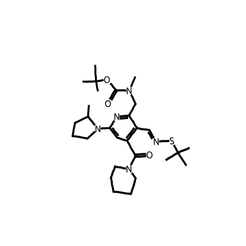 CC1CCCN1c1cc(C(=O)N2CCCCC2)c(/C=N/SC(C)(C)C)c(CN(C)C(=O)OC(C)(C)C)n1